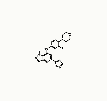 Fc1cc(Nc2nc(-c3ccno3)nc3cn[nH]c23)ccc1N1CCOCC1